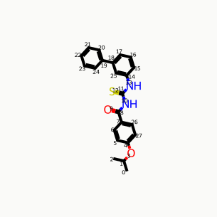 CC(C)Oc1ccc(C(=O)NC(=S)Nc2cccc(-c3ccccc3)c2)cc1